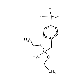 CCO[Si](C)(Cc1ccc(C(F)(F)F)cc1)OCC